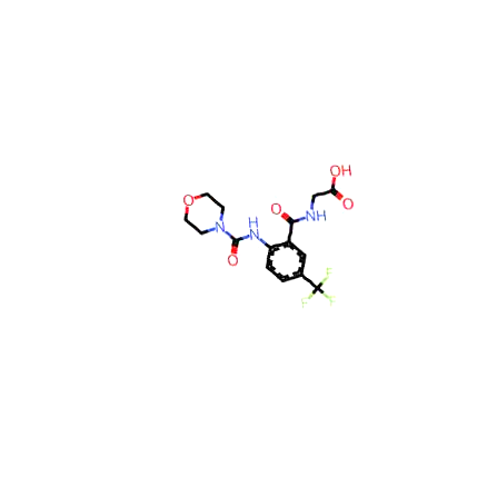 O=C(O)CNC(=O)c1cc(C(F)(F)F)ccc1NC(=O)N1CCOCC1